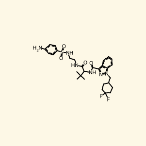 CC(C)(C)C(NC(=O)c1nn(CC2CCC(F)(F)CC2)c2ccccc12)C(=O)NCCNS(=O)(=O)c1ccc(N)cc1